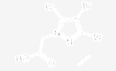 CC.O=C(O)Cn1nc(Br)c(Br)c1Br